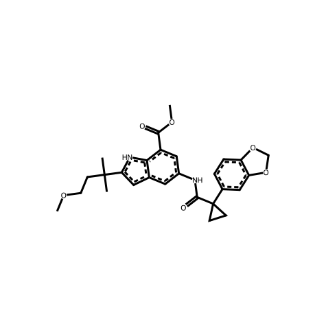 COCCC(C)(C)c1cc2cc(NC(=O)C3(c4ccc5c(c4)OCO5)CC3)cc(C(=O)OC)c2[nH]1